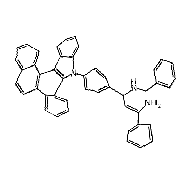 N/C(=C\C(NCc1ccccc1)c1ccc(-n2c3ccccc3c3c4c5ccccc5ccc4c4ccccc4c32)cc1)c1ccccc1